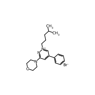 CC(C)CCC[n+]1cc(-c2ccccc2)cc(N2CCOCC2)n1.[Br-]